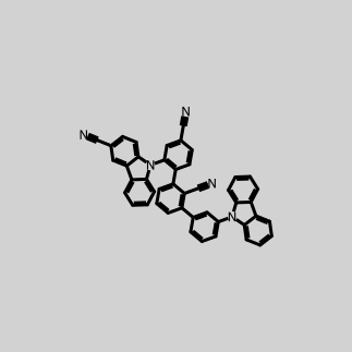 N#Cc1ccc(-c2cccc(-c3cccc(-n4c5ccccc5c5ccccc54)c3)c2C#N)c(-n2c3ccccc3c3cc(C#N)ccc32)c1